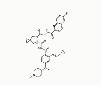 C[C@H](NC(=O)[C@@H]1CC2(CC2)CN1C(=O)CNC(=O)c1ccc2cc(F)ccc2n1)c1ccc(N(C)C2CCN(C)CC2)cc1/C=C/C1CC1